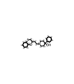 OC1(c2ccccc2)CCN(CCC2CSc3ccccc3O2)CC1